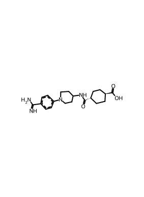 N=C(N)c1ccc(N2CCC(NC(=O)[C@H]3CC[C@H](C(=O)O)CC3)CC2)cc1